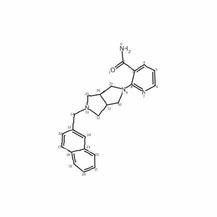 NC(=O)c1cccnc1N1CC2CN(Cc3ccc4ccccc4c3)CC2C1